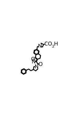 O=C(O)C1CN(Cc2ccc3c(c2)CCc2c(C(=O)N4CCC(CCc5ccccc5)C4)noc2-3)C1